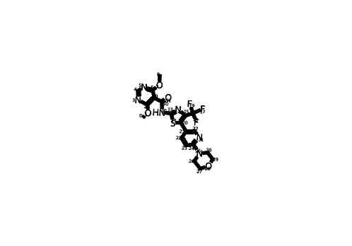 COc1ncnc(OC)c1C(=O)Nc1nc(C(F)(F)F)c(-c2ccc(N3CCOCC3)nc2)s1